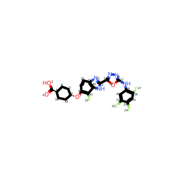 O=C(O)[C@H]1CC[C@H](Oc2ccc3nc(-c4nnc(Nc5cc(F)c(F)cc5F)o4)[nH]c3c2F)CC1